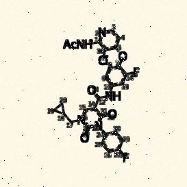 CC(=O)Nc1nccc(Oc2ccc(NC(=O)c3cn(CC4CC4)c(=O)n(-c4ccc(F)cc4)c3=O)cc2F)c1Cl